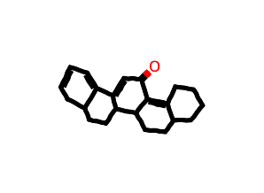 O=C1C=C2C3=CC=CCC3CCC2C2CCC3CCCCC3=C12